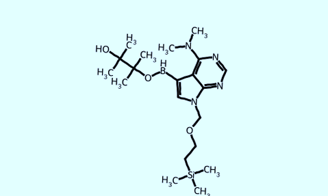 CN(C)c1ncnc2c1c(BOC(C)(C)C(C)(C)O)cn2COCC[Si](C)(C)C